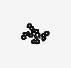 C1=C(c2cc3ccccc3c3ccccc23)/N=C(c2cccc3ccccc23)\N=C(\c2ccc3c(sc4ccc5ccccc5c43)c2-n2c3ccccc3c3cc4ccccc4cc32)CC\1